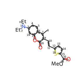 CCN(CC)c1ccc2c(C)c(/C=C/c3ccc(C(=O)OC)s3)c(=O)oc2c1